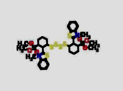 CO[Si](OC)(OC)C1CCCC(SSSSC2CCCC([Si](OC)(OC)OC)C2c2nc3ccccc3s2)C1c1nc2ccccc2s1